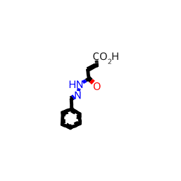 O=C(O)/C=C/C(=O)N/N=C/c1ccccc1